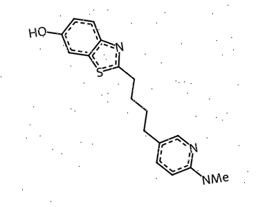 CNc1ccc(CCCCc2nc3ccc(O)cc3s2)cn1